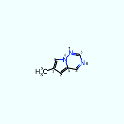 Cc1cc2cncnn2c1